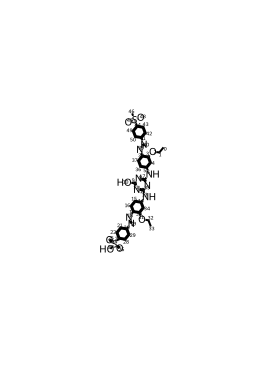 CCOc1cc(Nc2nc(O)nc(Nc3ccc(/N=N/c4ccc(S(=O)(=O)O)cc4)c(OCC)c3)n2)ccc1/N=N/c1ccc(S(C)(=O)=O)cc1